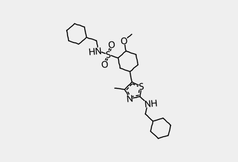 COC1CCC(c2sc(NCC3CCCCC3)nc2C)CC1S(=O)(=O)NCC1CCCCC1